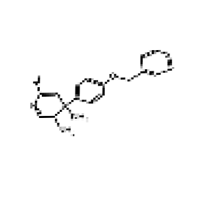 NC1C=NC(Cl)=CC1(N)c1ccc(OCc2ccccc2)cc1